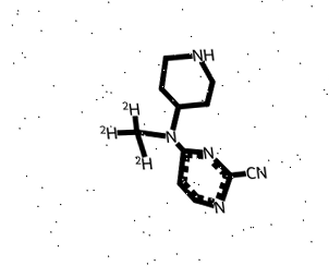 [2H]C([2H])([2H])N(c1ccnc(C#N)n1)C1CCNCC1